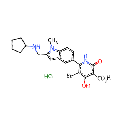 CCc1c(-c2ccc3c(c2)cc(CNC2CCCC2)n3C)[nH]c(=O)c(C(=O)O)c1O.Cl